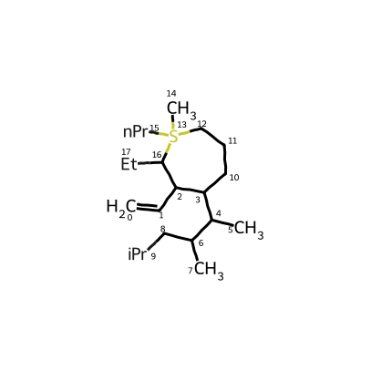 C=CC1C(C(C)C(C)CC(C)C)CCCS(C)(CCC)C1CC